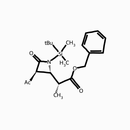 CC(=O)[C@H]1C(=O)N([Si](C)(C)C(C)(C)C)[C@@H]1[C@@H](C)C(=O)OCc1ccccc1